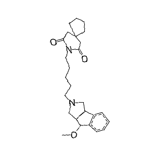 COC1c2ccccc2C2CN(CCCCCN3C(=O)CC4(CCCC4)CC3=O)CC21